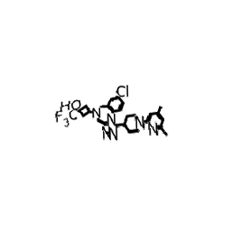 Cc1cc(C)nc(N2CCC(c3nnc4n3-c3ccc(Cl)cc3CN(C3CC(O)(C(F)(F)F)C3)C4)CC2)c1